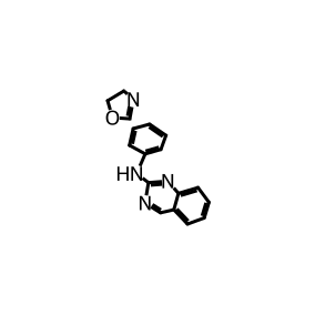 C1=NCCO1.c1ccc(Nc2ncc3ccccc3n2)cc1